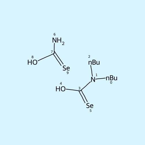 CCCCN(CCCC)C(O)=[Se].NC(O)=[Se]